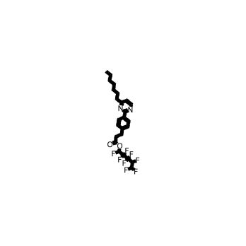 CCCCCCCc1ccnc(-c2ccc(CCC(=O)OC(F)C(F)(F)C(F)(F)C(F)C(F)F)cc2)n1